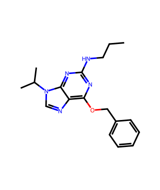 CCCNc1nc(OCc2ccccc2)c2ncn(C(C)C)c2n1